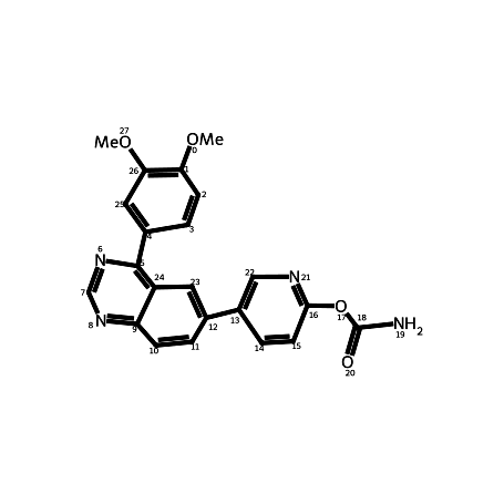 COc1ccc(-c2ncnc3ccc(-c4ccc(OC(N)=O)nc4)cc23)cc1OC